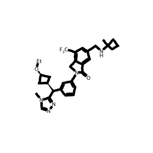 CCO[C@H]1C[C@@H](C(c2cccc(N3Cc4c(cc(CNC5(C)CCC5)cc4C(F)(F)F)C3=O)c2)c2nncn2C)C1